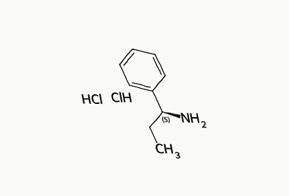 CC[C@H](N)c1ccccc1.Cl.Cl